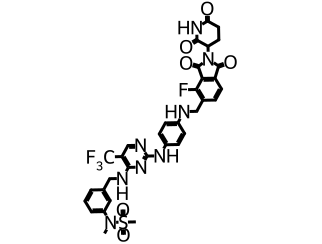 CN(c1cccc(CNc2nc(Nc3ccc(NCc4ccc5c(c4F)C(=O)N(C4CCC(=O)NC4=O)C5=O)cc3)ncc2C(F)(F)F)c1)S(C)(=O)=O